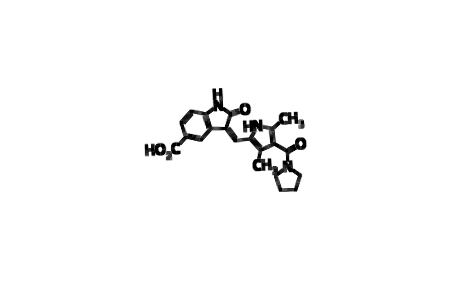 Cc1[nH]c(C=C2C(=O)Nc3ccc(C(=O)O)cc32)c(C)c1C(=O)N1CCCC1